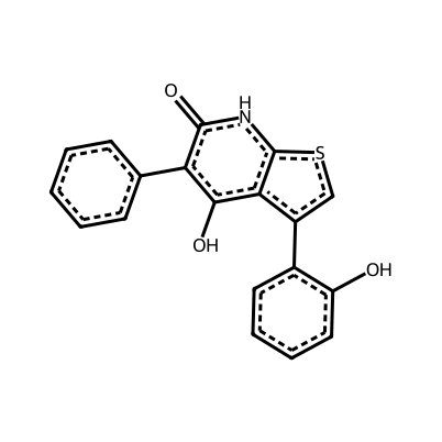 O=c1[nH]c2scc(-c3ccccc3O)c2c(O)c1-c1ccccc1